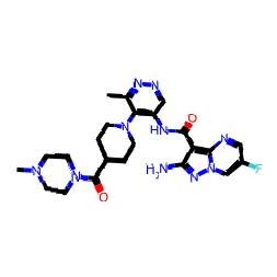 Cc1nncc(NC(=O)c2c(N)nn3cc(F)cnc23)c1N1CCC(C(=O)N2CCN(C)CC2)CC1